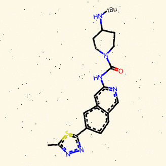 Cc1nnc(-c2ccc3cnc(NC(=O)N4CCC(NC(C)(C)C)CC4)cc3c2)s1